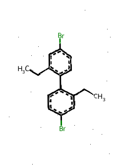 CCc1cc(Br)ccc1-c1ccc(Br)cc1CC